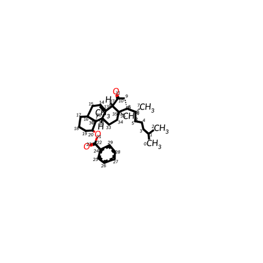 CC(C)CCC[C@@H](C)[C@H]1CC(=O)[C@H]2C3=CCC4CCCC(OC(=O)c5ccccc5)[C@]4(C)[C@H]3CC[C@@]21C